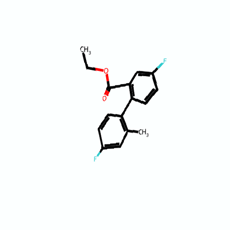 CCOC(=O)c1cc(F)ccc1-c1ccc(F)cc1C